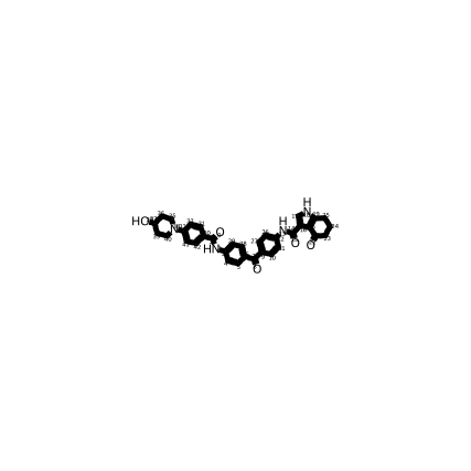 O=C(Nc1ccc(C(=O)c2ccc(NC(=O)c3c[nH]c4c3C(=O)CCC4)cc2)cc1)c1ccc(N2CCC(O)CC2)cc1